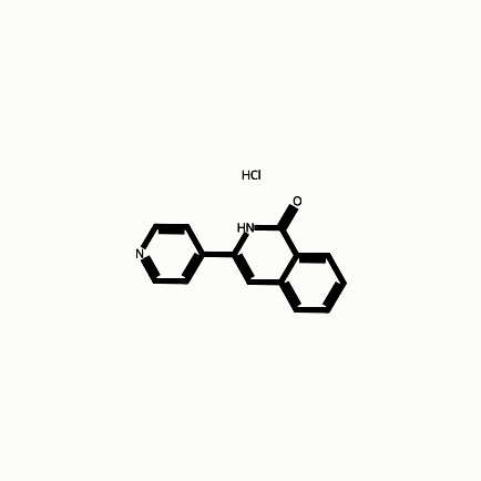 Cl.O=c1[nH]c(-c2ccncc2)cc2ccccc12